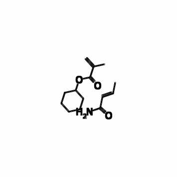 C=C(C)C(=O)OC1CCCCC1.CC=CC(N)=O